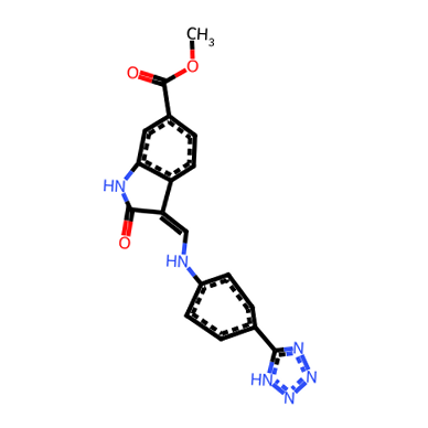 COC(=O)c1ccc2c(c1)NC(=O)C2=CNc1ccc(-c2nnn[nH]2)cc1